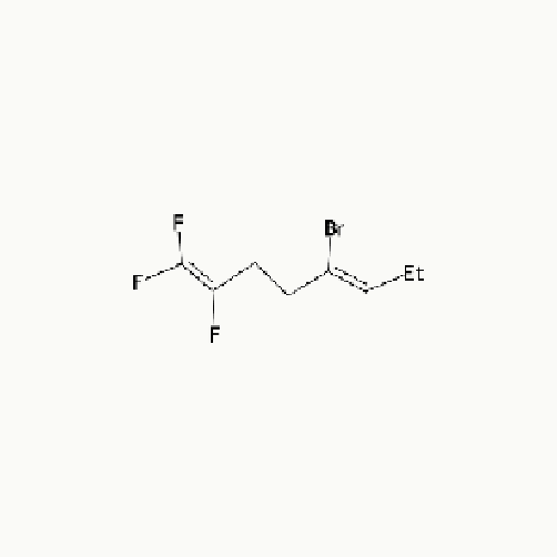 CCC=C(Br)CCC(F)=C(F)F